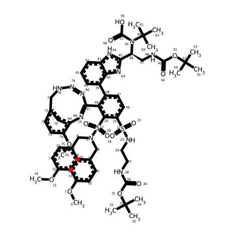 COc1ccc(CN(Cc2ccc(OC)cc2)S(=O)(=O)c2c(S(=O)(=O)NCCNC(=O)OC(C)(C)C)ccc(-c3cccc4[nH]c([C@H](CNC(=O)OC(C)(C)C)N(C(=O)O)C(C)(C)C)nc34)c2C2=Nc3cc(ccc3OC)CNN=N2)cc1